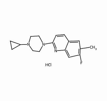 Cc1cc2ccc(N3CCN(C4CC4)CC3)nc2cc1F.Cl